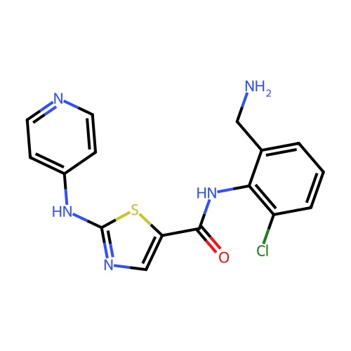 NCc1cccc(Cl)c1NC(=O)c1cnc(Nc2ccncc2)s1